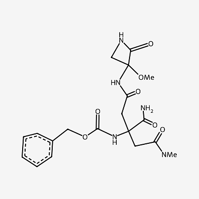 CNC(=O)CC(CC(=O)NC1(OC)CNC1=O)(NC(=O)OCc1ccccc1)C(N)=O